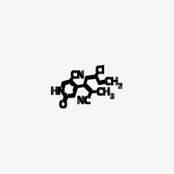 C=C/C(Cl)=C\C(=C(/C)C#N)c1cc(=O)[nH]cc1C#N